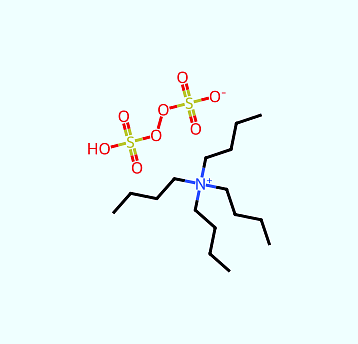 CCCC[N+](CCCC)(CCCC)CCCC.O=S(=O)([O-])OOS(=O)(=O)O